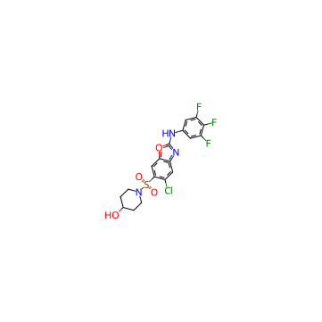 O=S(=O)(c1cc2oc(Nc3cc(F)c(F)c(F)c3)nc2cc1Cl)N1CCC(O)CC1